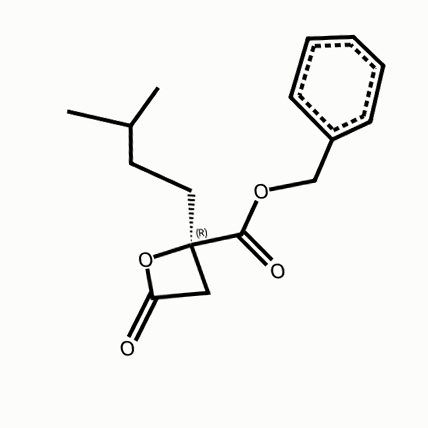 CC(C)CC[C@]1(C(=O)OCc2ccccc2)CC(=O)O1